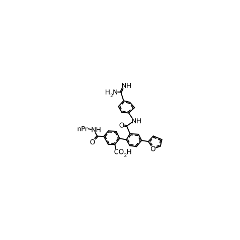 CCCNC(=O)c1ccc(-c2ccc(-c3ccco3)cc2C(=O)Nc2ccc(C(=N)N)cc2)c(C(=O)O)c1